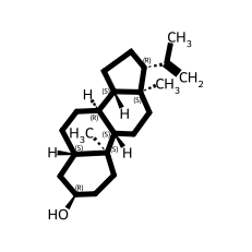 C=C(C)[C@H]1CC[C@H]2[C@@H]3CC[C@H]4C[C@H](O)CC[C@]4(C)[C@H]3CC[C@]12C